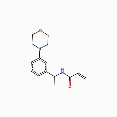 C=CC(=O)NC(C)c1cccc(N2CCOCC2)c1